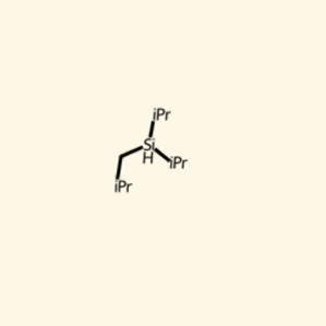 CC(C)C[SiH](C(C)C)C(C)C